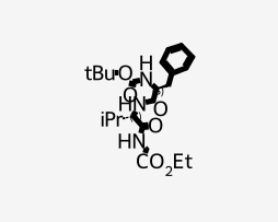 CCOC(=O)CNC(=O)[C@@H](NC(=O)[C@H](Cc1ccccc1)NC(=O)OC(C)(C)C)C(C)C